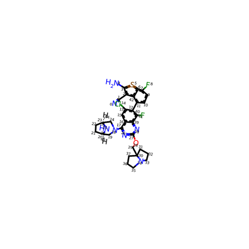 N#Cc1c(N)sc2c(F)ccc(-c3c(Cl)cc4c(N5C[C@H]6CC[C@@H](C5)N6)nc(OCC56CCCN5CCC6)nc4c3F)c12